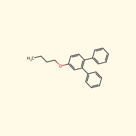 CCCCOc1ccc(-c2ccccc2)c(-c2ccccc2)c1